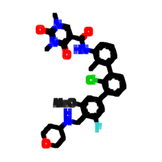 COc1cc(-c2cccc(-c3cccc(NC(=O)c4cn(C)c(=O)n(C)c4=O)c3C)c2Cl)cc(F)c1CNC1CCOCC1